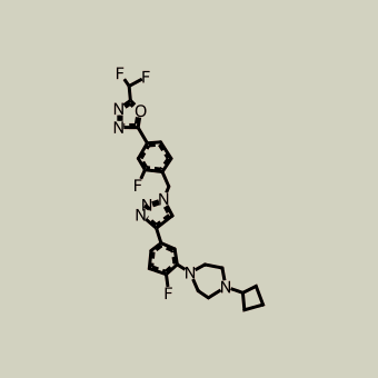 Fc1cc(-c2nnc(C(F)F)o2)ccc1Cn1cc(-c2ccc(F)c(N3CCN(C4CCC4)CC3)c2)nn1